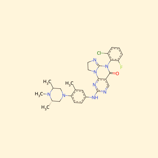 Cc1cc(Nc2ncc3c(n2)N2CCN=C2N(c2c(F)cccc2Cl)C3=O)ccc1N1CC(C)N(C)[C@@H](C)C1